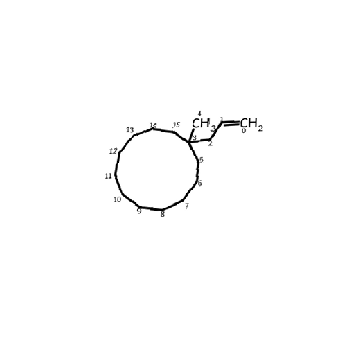 C=CCC1(C)CCCCCCCCCCC1